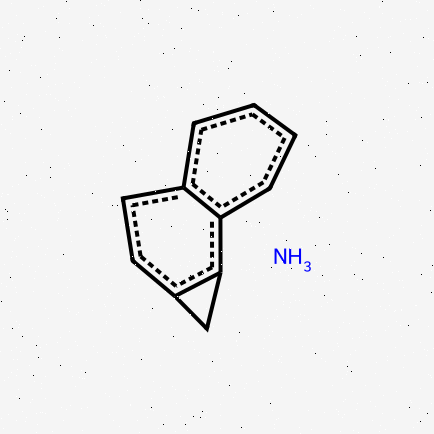 N.c1ccc2c3c(ccc2c1)C3